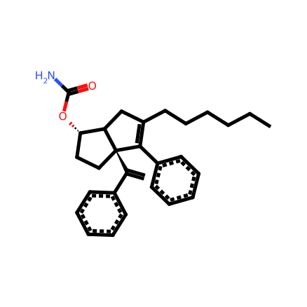 C=C(c1ccccc1)[C@@]12CC[C@H](OC(N)=O)C1CC(CCCCCC)=C2c1ccccc1